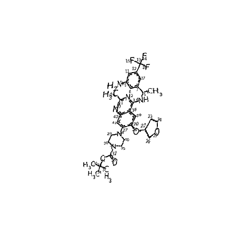 Cc1nc(N[C@H](C)c2cc(N)cc(C(F)(F)F)c2)c2cc(O[C@H]3CCOC3)c(N3CCN(C(=O)OC(C)(C)C)CC3)cc2n1